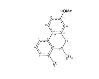 CCc1cccc2c1N(C)Cc1cc(OC)ccc1-2